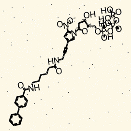 O=C(CCCCCNC(=O)c1ccc(-c2ccccc2)cc1)NCC#Cc1cc([N+](=O)[O-])n([C@H]2C[C@@H](O)[C@@H](COP(=O)(O)OP(=O)(O)OP(=O)(O)O)O2)c1